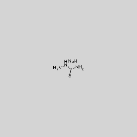 NNC(N)=S.[NaH]